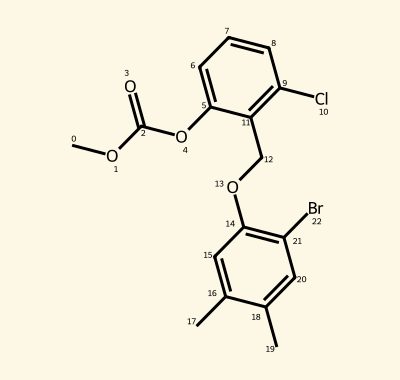 COC(=O)Oc1cccc(Cl)c1COc1cc(C)c(C)cc1Br